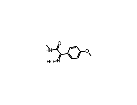 CNC(=O)C(=NO)c1ccc(OC)cc1